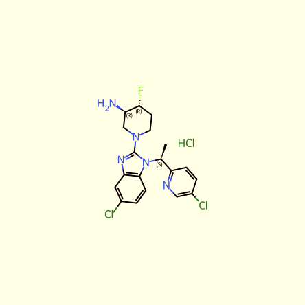 C[C@@H](c1ccc(Cl)cn1)n1c(N2CC[C@@H](F)[C@H](N)C2)nc2cc(Cl)ccc21.Cl